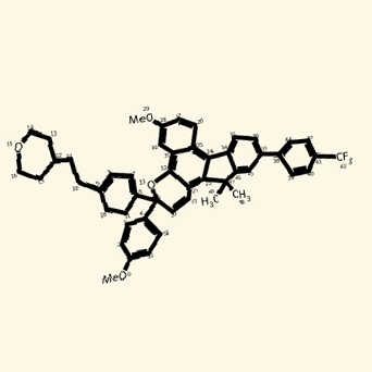 COc1ccc(C2(C3=CC=C(CCC4CCOCC4)CC3)C=Cc3c4c(c5ccc(OC)cc5c3O2)-c2ccc(-c3ccc(C(F)(F)F)cc3)cc2C4(C)C)cc1